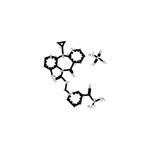 CS(=O)(=O)[O-].Cc1ccnc2c1N(C(=O)OC[n+]1cccc(C(=O)N(C)C)c1)C(=O)c1cccnc1N2C1CC1